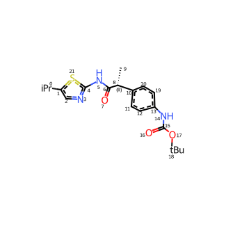 CC(C)c1cnc(NC(=O)[C@H](C)c2ccc(NC(=O)OC(C)(C)C)cc2)s1